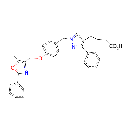 Cc1oc(-c2ccccc2)nc1COc1ccc(Cn2cc(CCCC(=O)O)c(-c3ccccc3)n2)cc1